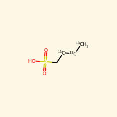 [13CH3][13CH2][13CH2]CS(=O)(=O)O